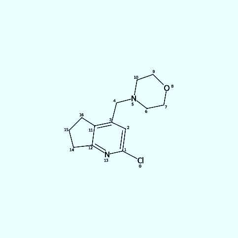 Clc1cc(CN2CCOCC2)c2c(n1)CCC2